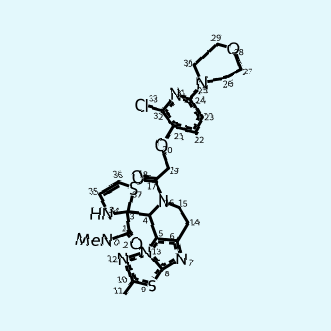 CNC(=O)C1(C2c3c(nc4sc(C)nn34)CCN2C(=O)COc2ccc(N3CCOCC3)nc2Cl)NC=CS1